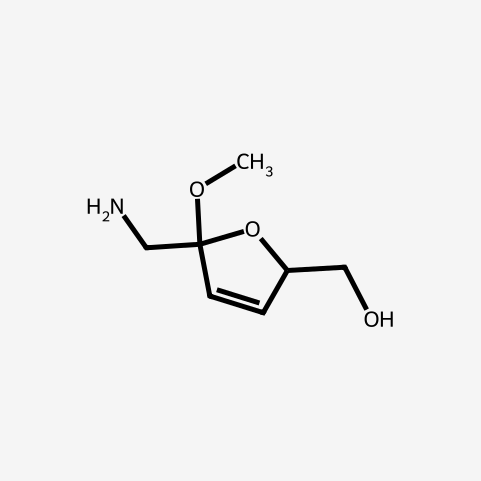 COC1(CN)C=CC(CO)O1